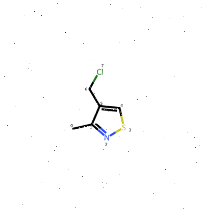 Cc1nscc1CCl